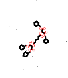 O=C(CCCCC(=O)OC(C(=O)OCc1ccccc1)C(=O)OCc1ccccc1)OC(C(=O)OCc1ccccc1)C(=O)OCc1ccccc1